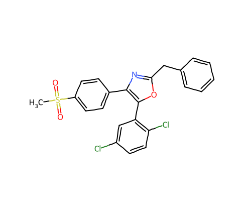 CS(=O)(=O)c1ccc(-c2nc(Cc3ccccc3)oc2-c2cc(Cl)ccc2Cl)cc1